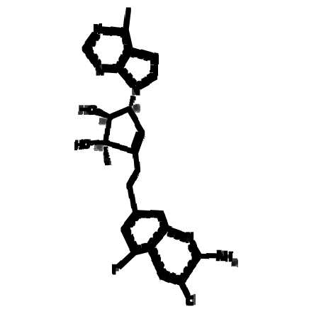 Cc1ncnc2c1ccn2[C@@H]1C=C(CCc2cc(F)c3cc(Cl)c(N)nc3c2)[C@@](C)(O)[C@H]1O